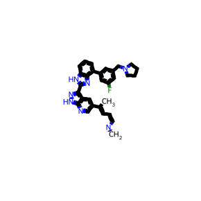 C=N/C=C\C=C(/C)c1cnc2[nH]nc(-c3nc4c(-c5cc(F)cc(CN6CCCC6)c5)cccc4[nH]3)c2c1